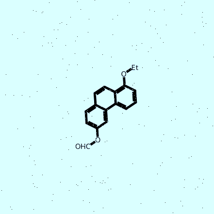 CCOc1cccc2c1ccc1ccc(OC=O)cc12